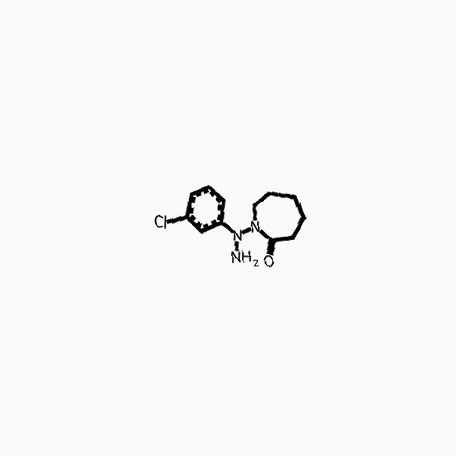 NN(c1cccc(Cl)c1)N1CCCCCC1=O